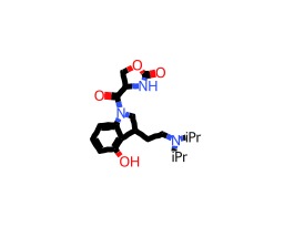 CC(C)N(CCC1CN(C(=O)C2COC(=O)N2)c2cccc(O)c21)C(C)C